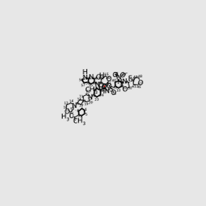 CC(C)c1ccccc1[C@@H]1COCCCN1C1CC2(CCN(c3ccc(C(=O)NS(=O)(=O)c4cc5c(c([N+](=O)[O-])c4)N[C@H](C4(F)CCOCC4)CO5)c(N4c5cc6cc[nH]c6nc5O[C@H]5COCC[C@@H]54)c3)[C@@H](C)C2)C1